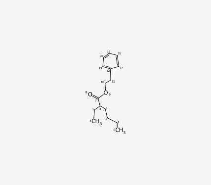 CCCCC(CC)C(=O)OCCc1ccccc1